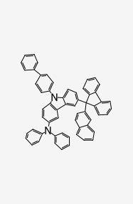 c1ccc(-c2ccc(-n3c4ccc(N(c5ccccc5)c5ccccc5)cc4c4cc(C5(c6ccc7ccccc7c6)c6ccccc6-c6ccccc65)ccc43)cc2)cc1